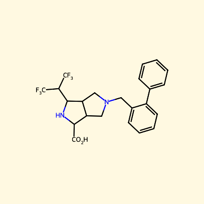 O=C(O)C1NC(C(C(F)(F)F)C(F)(F)F)C2CN(Cc3ccccc3-c3ccccc3)CC12